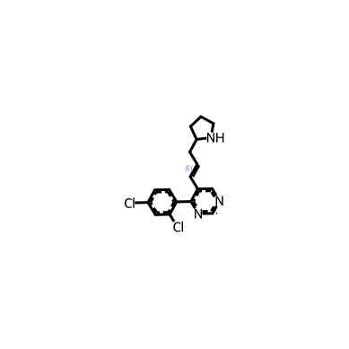 Clc1ccc(-c2n[c]ncc2/C=C/CC2CCCN2)c(Cl)c1